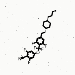 CCCC[C@H]1CC[C@H](CCc2cc(F)c(C(F)(F)Oc3cc(F)c(C#N)c(F)c3)c(F)c2)CC1